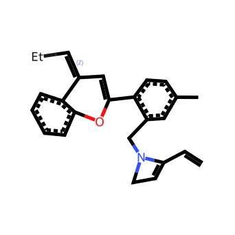 C=CC1=CCN1Cc1cc(C)ccc1C1=C/C(=C/CC)c2ccccc2O1